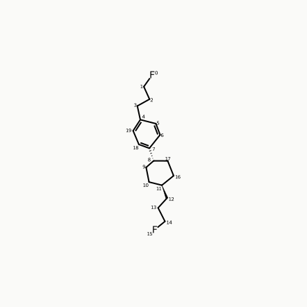 FCCCc1ccc([C@H]2CC[C@H](CCCF)CC2)cc1